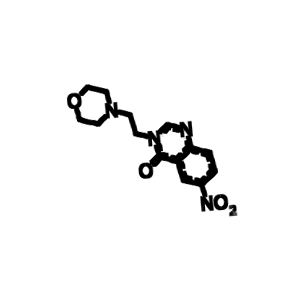 O=c1c2cc([N+](=O)[O-])ccc2ncn1CCN1CCOCC1